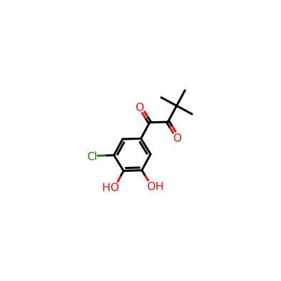 CC(C)(C)C(=O)C(=O)c1cc(O)c(O)c(Cl)c1